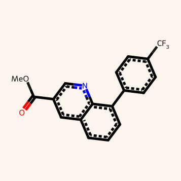 COC(=O)c1cnc2c(-c3ccc(C(F)(F)F)cc3)cccc2c1